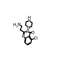 NCCc1nc2cccc(Cl)c2c(=O)n1N1CCNCC1